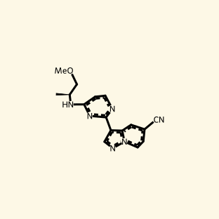 COC[C@H](C)Nc1ccnc(-c2cnn3ccc(C#N)cc23)n1